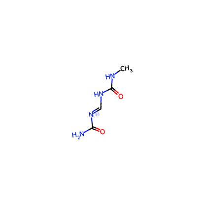 CNC(=O)N/C=N/C(N)=O